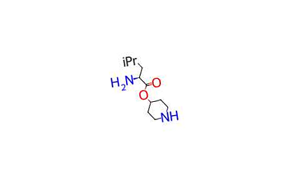 CC(C)C[C@H](N)C(=O)OC1CCNCC1